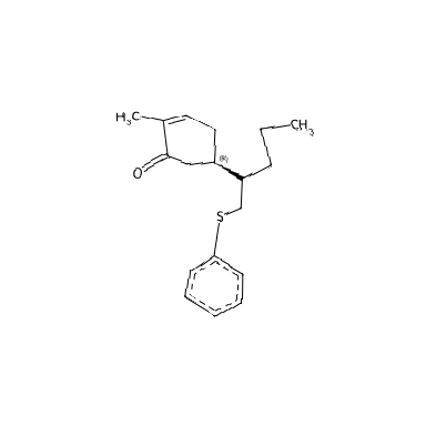 CCCC(CSc1ccccc1)[C@@H]1CC=C(C)C(=O)C1